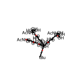 CC(=O)NC[C@@H](O)OCCCCC(=O)NCCCNC(=O)CCOCC(COCCC(=O)NCCCNC(=O)CCCCOC1OC(CO)C(O)C(O)C1NC(C)=O)(COCCC(=O)NCCCNC(=O)CCCCOC1OC(CO)C(O)C(O)C1NC(C)=O)NC(=O)CCCCCCCCCCC(C)(C)C